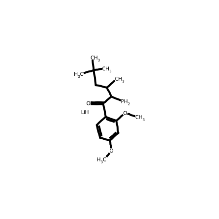 COc1ccc(C(=O)C(P)C(C)CC(C)(C)C)c(OC)c1.[LiH]